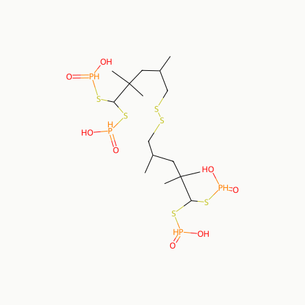 CC(CSSCC(C)CC(C)(C)C(S[PH](=O)O)S[PH](=O)O)CC(C)(C)C(S[PH](=O)O)S[PH](=O)O